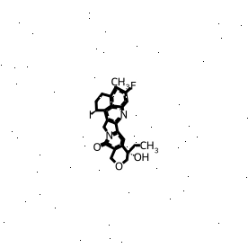 CC[C@@]1(O)COCc2c1cc1n(c2=O)Cc2c-1nc1cc(F)c(C)c3c1c2[C@@H](I)CC3